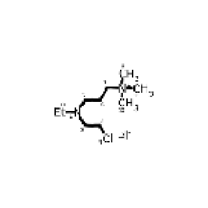 CCN(CCCl)CCC[N+](C)(C)C.[I-]